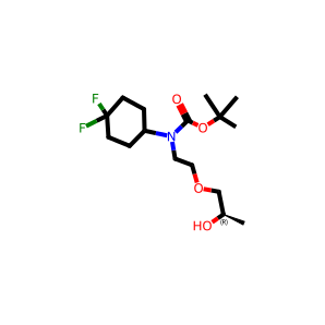 C[C@@H](O)COCCN(C(=O)OC(C)(C)C)C1CCC(F)(F)CC1